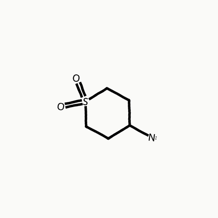 [N]C1CCS(=O)(=O)CC1